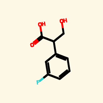 O=C(O)C(CO)c1cccc(F)c1